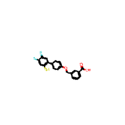 O=C(O)c1cccc(COc2ccc(-c3cc(F)c(F)cc3S)cc2)c1